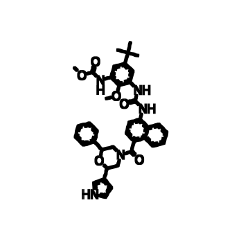 COC(=O)Nc1cc(C(C)(C)C)cc(NC(=O)Nc2ccc(C(=O)N3CC(c4ccccc4)OC(c4cc[nH]c4)C3)c3ccccc23)c1OC